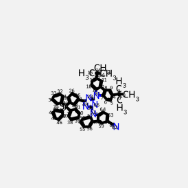 CC(C)(C)c1ccc2c(c1)c1cc(C(C)(C)C)ccc1n2-c1nc(-c2cccc([Si](c3ccccc3)(c3ccccc3)c3ccccc3)c2)nc(-n2c3ccccc3c3cc(C#N)ccc32)n1